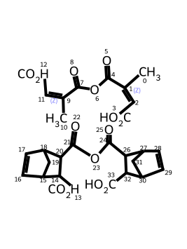 C/C(=C/C(=O)O)C(=O)OC(=O)/C(C)=C\C(=O)O.O=C(O)C1C2C=CC(C2)C1C(=O)OC(=O)C1C2C=CC(C2)C1C(=O)O